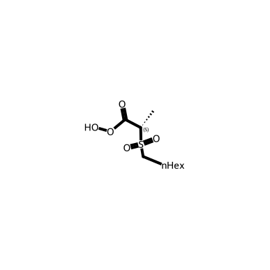 CCCCCCCS(=O)(=O)[C@@H](C)C(=O)OO